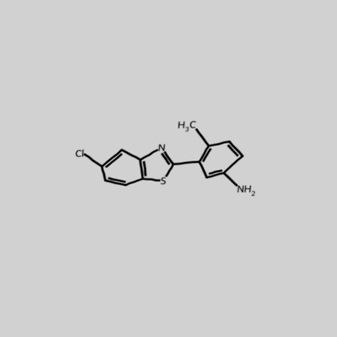 Cc1ccc(N)cc1-c1nc2cc(Cl)ccc2s1